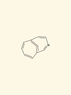 C1=C2C=CC=CC=1C=NC=C2